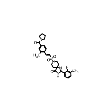 Cc1cc(C(=O)N2CCCC2)ccc1C=CS(=O)(=O)N1CCC2(CC1)N=C(c1cccc(C(F)(F)F)c1F)NC2=O